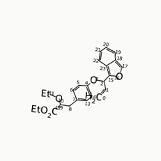 C=CC(Oc1ccc(C[C@H](OCC)C(=O)OCC)cc1)c1occ2ccccc12